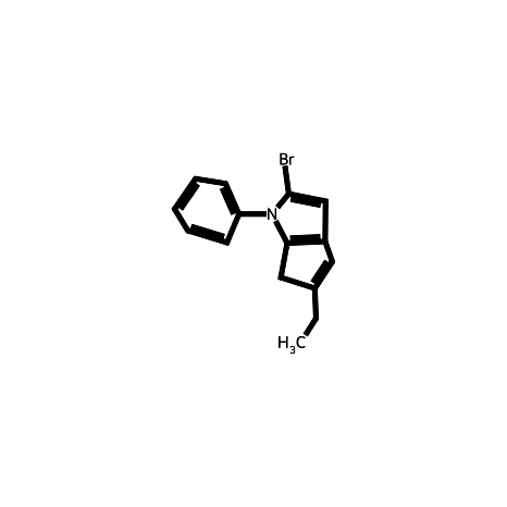 CCC1=Cc2cc(Br)n(-c3ccccc3)c2C1